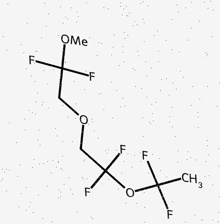 COC(F)(F)COCC(F)(F)OC(C)(F)F